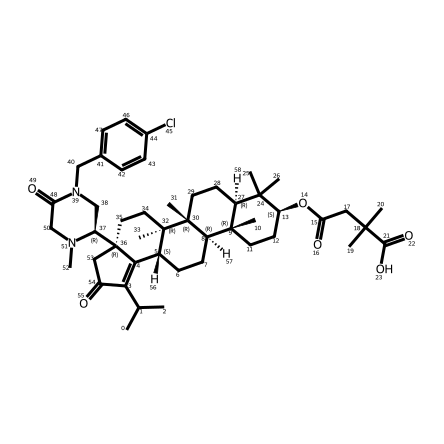 CC(C)C1=C2[C@H]3CC[C@@H]4[C@@]5(C)CC[C@H](OC(=O)CC(C)(C)C(=O)O)C(C)(C)[C@@H]5CC[C@@]4(C)[C@]3(C)CC[C@@]2([C@@H]2CN(Cc3ccc(Cl)cc3)C(=O)CN2C)CC1=O